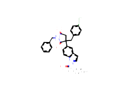 COC(=O)n1ccc2cc(C3(Cc4ccc(F)cc4)CC(=O)N(Cc4ccccc4)C3=O)ccc21